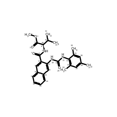 COC(=O)[C@H](NC(=O)c1cc2ccccc2cc1NC(=O)Nc1c(C)cc(C)cc1C)C(C)C